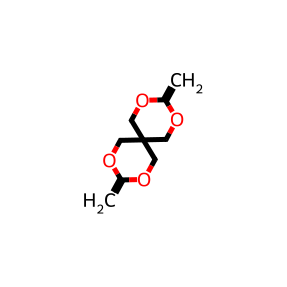 C=C1OCC2(CO1)COC(=C)OC2